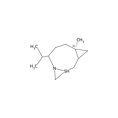 CC(C)C1CC[C@@]2(C)CC2C[SH]2CN12